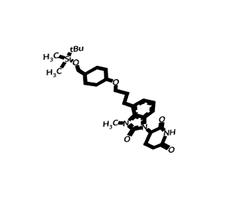 Cn1c(=O)n(C2CCC(=O)NC2=O)c2cccc(CCCOC3CCC(CO[Si](C)(C)C(C)(C)C)CC3)c21